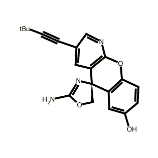 CC(C)(C)C#Cc1cnc2c(c1)[C@]1(COC(N)=N1)c1cc(O)ccc1O2